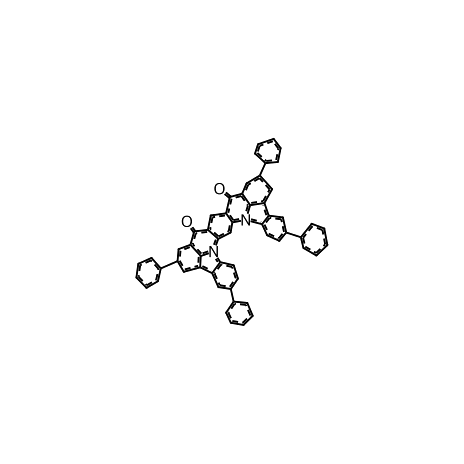 O=c1c2cc3c(=O)c4cc(-c5ccccc5)cc5c6cc(-c7ccccc7)ccc6n(c3cc2n2c3ccc(-c6ccccc6)cc3c3cc(-c6ccccc6)cc1c32)c45